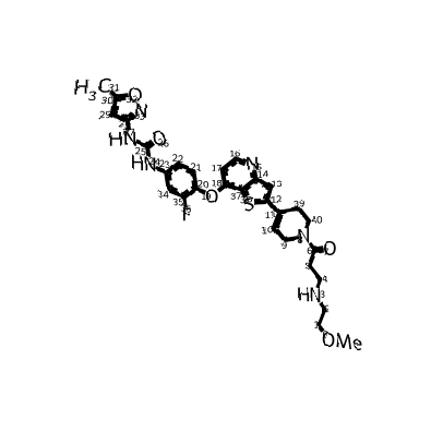 COCCNCCC(=O)N1CC=C(c2cc3nccc(Oc4ccc(NC(=O)Nc5cc(C)on5)cc4F)c3s2)CC1